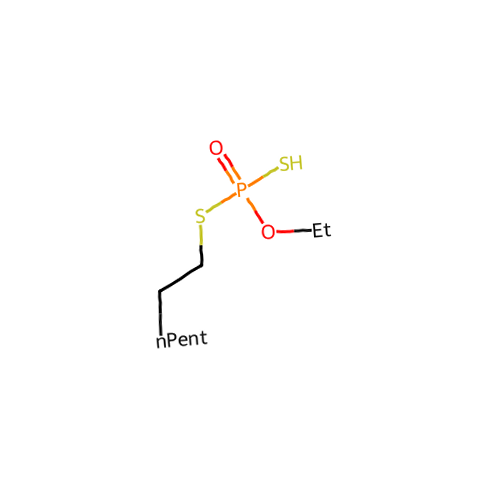 CCCCCCCSP(=O)(S)OCC